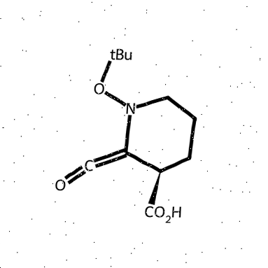 CC(C)(C)ON1CCC[C@@H](C(=O)O)C1=C=O